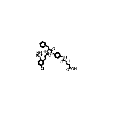 O=C(O)CCNC(=O)Nc1ccc(NC(=O)[C@H](Cc2ccccc2)NC(=O)C=Cc2cc(Cl)ccc2-n2cnnn2)cc1